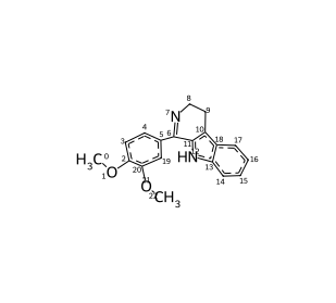 COc1ccc(C2=NCCc3c2[nH]c2ccccc32)cc1OC